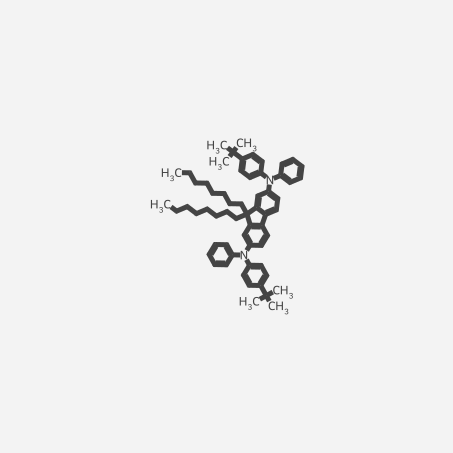 CCCCCCCCC1(CCCCCCCC)c2cc(N(c3ccccc3)c3ccc(C(C)(C)C)cc3)ccc2-c2ccc(N(c3ccccc3)c3ccc(C(C)(C)C)cc3)cc21